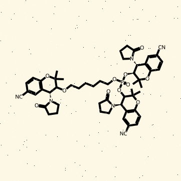 CC1(C)Oc2ccc(C#N)cc2[C@@H](N2CCCC2=O)C1OCCCCCCOP(=O)(OC1[C@H](N2CCCC2=O)c2cc(C#N)ccc2OC1(C)C)O[C@H]1[C@H](N2CCCC2=O)c2cc(C#N)ccc2OC1(C)C